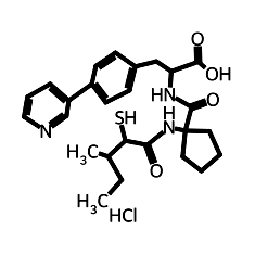 CCC(C)C(S)C(=O)NC1(C(=O)NC(Cc2ccc(-c3cccnc3)cc2)C(=O)O)CCCC1.Cl